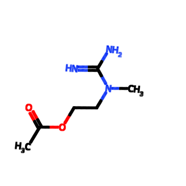 CC(=O)OCCN(C)C(=N)N